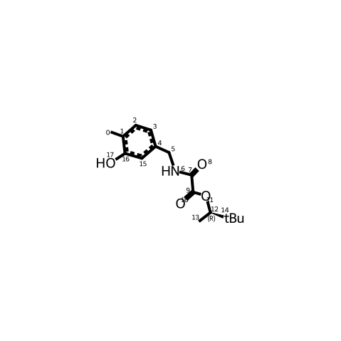 Cc1ccc(CNC(=O)C(=O)O[C@H](C)C(C)(C)C)cc1O